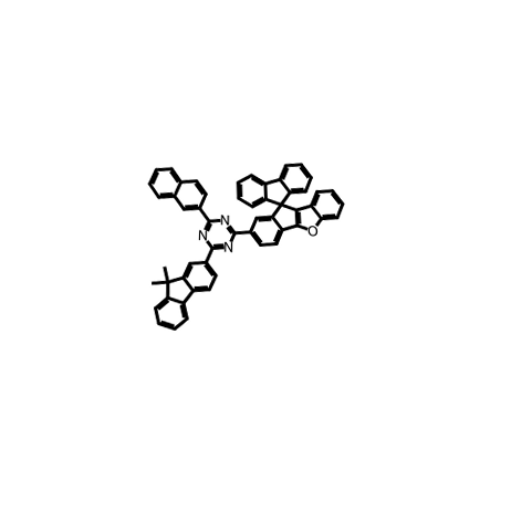 CC1(C)c2ccccc2-c2ccc(-c3nc(-c4ccc5c(c4)C4(c6ccccc6-c6ccccc64)c4c-5oc5ccccc45)nc(-c4ccc5ccccc5c4)n3)cc21